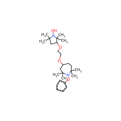 CC1(C)CCC(OCCOC2CC(C)(C)N(O)C2(C)C)CC(C)(C)N1Oc1ccccc1